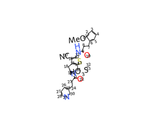 COc1ccccc1CCC(=O)Nc1sc2c(c1C#N)CCN(C(=O)CCc1cccnc1)C2.CS(=O)(=O)O